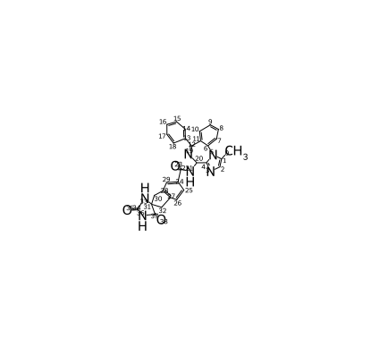 Cc1cnc2n1-c1ccccc1C(c1ccccc1)=NC2NC(=O)c1ccc2c(c1)CC1(C2)NC(=O)NC1=O